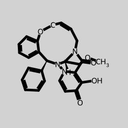 COC[C@H]1N2C/C=C\COc3ccccc3[C@H](c3ccccc3)N1n1ccc(=O)c(O)c1C2=O